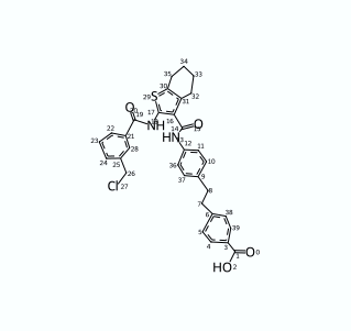 O=C(O)c1ccc(CCc2ccc(NC(=O)c3c(NC(=O)c4cccc(CCl)c4)sc4c3CCCC4)cc2)cc1